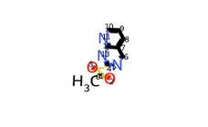 CS(=O)(=O)c1ncc2cccnc2n1